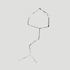 CN(C)CCC1C[N]CNC1